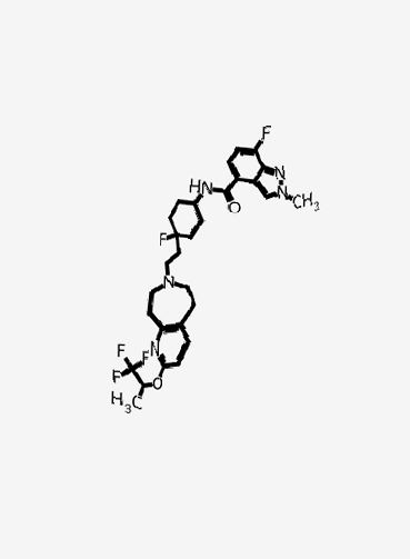 CC(Oc1ccc2c(n1)CCN(CCC1(F)CCC(NC(=O)c3ccc(F)c4nn(C)cc34)CC1)CC2)C(F)(F)F